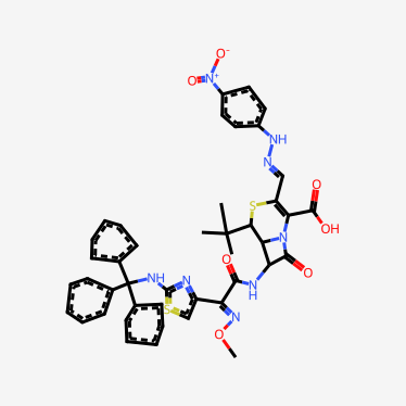 CON=C(C(=O)NC1C(=O)N2C(C(=O)O)=C(C=NNc3ccc([N+](=O)[O-])cc3)SC(C(C)(C)C)C12)c1csc(NC(c2ccccc2)(c2ccccc2)c2ccccc2)n1